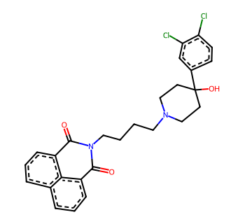 O=C1c2cccc3cccc(c23)C(=O)N1CCCCN1CCC(O)(c2ccc(Cl)c(Cl)c2)CC1